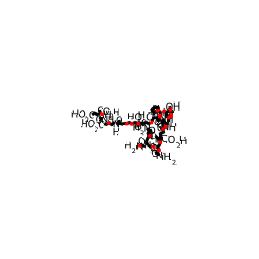 NC(=O)CN1CCN(CC(N)=O)CCN(C(CCC(=O)N[C@H](Cc2ccc(O)c(I)c2)C(=O)NC(Cc2ccccc2)C(=O)NC(CCCCNC(=O)CCCCCCC(=O)NCCCCC(NC(=O)NC(CCC(=O)O)C(=O)O)C(=O)O)C(=O)O)C(=O)O)CCN(CC(N)=O)CC1